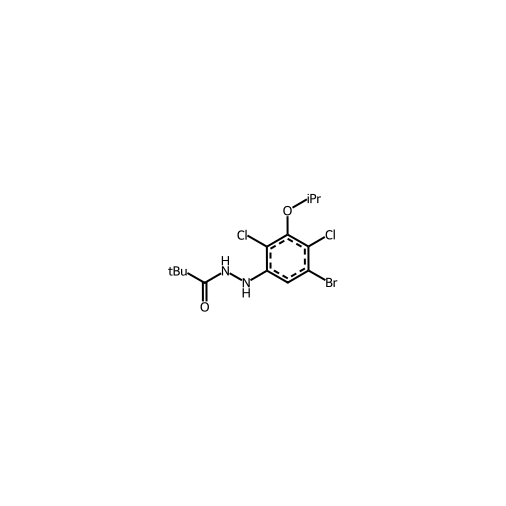 CC(C)Oc1c(Cl)c(Br)cc(NNC(=O)C(C)(C)C)c1Cl